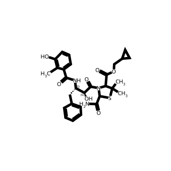 Cc1c(O)cccc1C(=O)N[C@@H](Cc1ccccc1)[C@H](O)C(=O)N1C(C(N)=O)SC(C)(C)C1C(=O)OCC1CC1